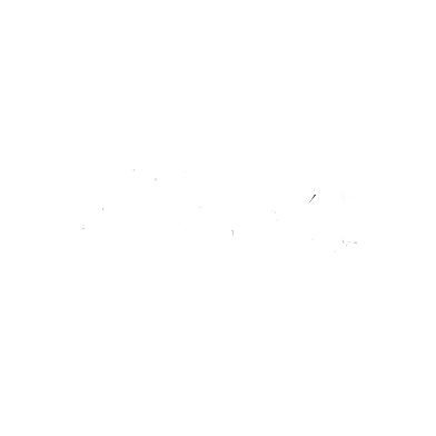 COC(=O)[C@H](CC(C)C)NC(c1ccc2c(c1)oc1ccc(Br)cc12)C(F)(F)F